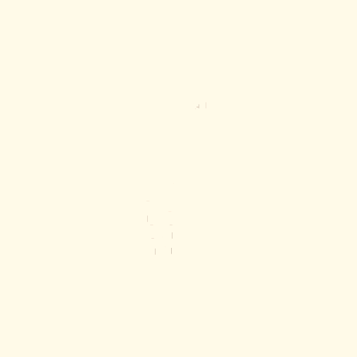 FC(F)C(F)(F)C(F)(F)C(F)(F)C(F)CCCCCCCCCCC[SiH3]